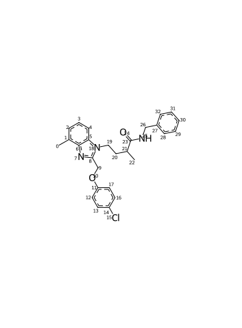 Cc1cccc2c1nc(COc1ccc(Cl)cc1)n2CCC(C)C(=O)NCc1ccccc1